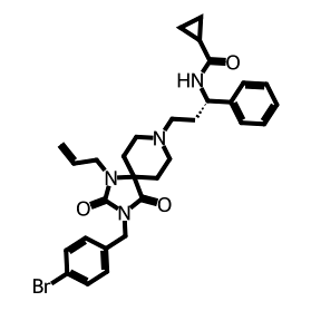 C=CCN1C(=O)N(Cc2ccc(Br)cc2)C(=O)C12CCN(CC[C@H](NC(=O)C1CC1)c1ccccc1)CC2